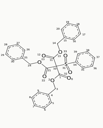 O=C(OCc1ccccc1)C(C(=O)OCc1ccccc1)(C(=O)OCc1ccccc1)S(=O)(=O)c1ccccc1